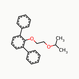 CC(C)OCCOc1c(-c2ccccc2)cccc1-c1ccccc1